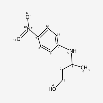 CC(CCO)Nc1ccc([N+](=O)[O-])cc1